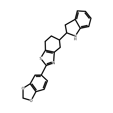 c1ccc2c(c1)CC(C1CCc3sc(-c4ccc5c(c4)OCO5)nc3C1)N2